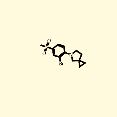 CS(=O)(=O)c1ccc(N2CCC3(CC3)C2)c(Br)c1